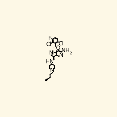 C#CCCCN1CCC(N/C=C(\C=N)c2cnc(N)c(O[C@H](C)c3c(Cl)ccc(F)c3Cl)c2)CC1